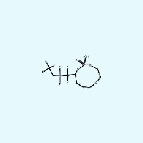 O=P1(O)OCCCCCCC(C(F)(F)C(F)(F)CC(F)(F)F)O1